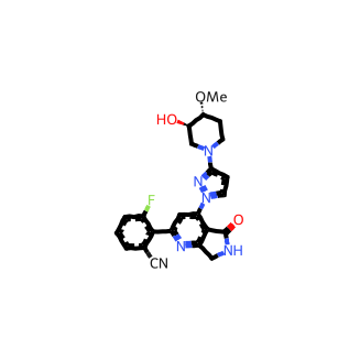 CO[C@@H]1CCN(c2ccn(-c3cc(-c4c(F)cccc4C#N)nc4c3C(=O)NC4)n2)C[C@H]1O